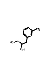 CC(C)OC(O)Cc1cccc(C#N)c1